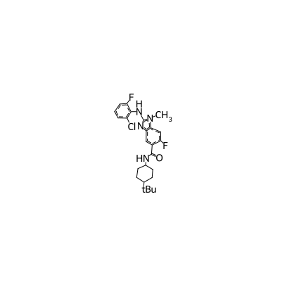 Cn1c(Nc2c(F)cccc2Cl)nc2cc(C(=O)NC3CCC(C(C)(C)C)CC3)c(F)cc21